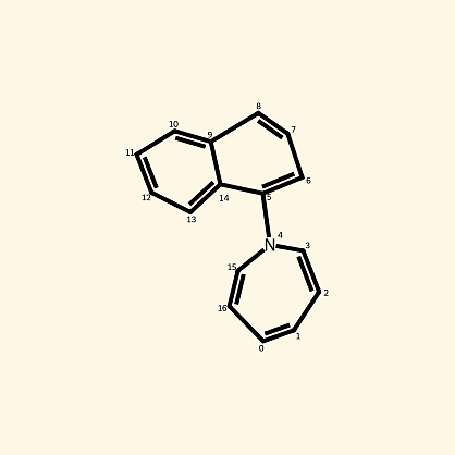 C1=CC=CN(c2cccc3ccccc23)C=C1